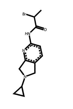 CC(Br)C(=O)Nc1ccc2c(n1)CN(C1CC1)C2